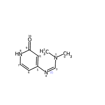 CN(C)/C=N\c1cc[nH]c(=O)c1